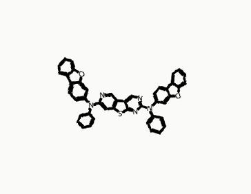 c1ccc(N(c2ccc3c(c2)oc2ccccc23)c2cc3sc4nc(N(c5ccccc5)c5ccc6c(c5)oc5ccccc56)ncc4c3cn2)cc1